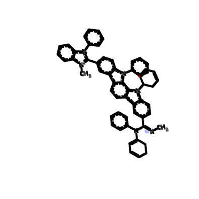 C/N=C(\c1ccc2c(c1)c1ccc3c4cc(-c5n(-c6ccccc6)c6ccccc6[n+]5C)ccc4n(-c4ccccc4)c3c1n2C1C=CC=CC1)N(C1=CC=CCC1)c1ccccc1